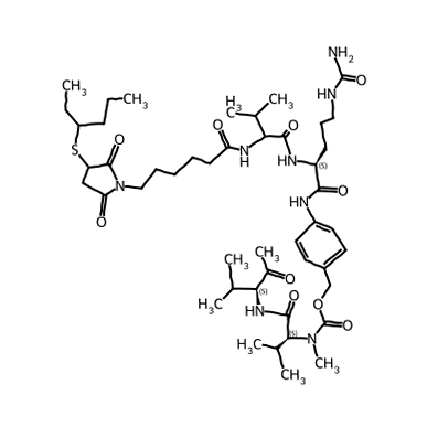 CCCC(CC)SC1CC(=O)N(CCCCCC(=O)NC(C(=O)N[C@@H](CCCNC(N)=O)C(=O)Nc2ccc(COC(=O)N(C)[C@H](C(=O)N[C@H](C(C)=O)C(C)C)C(C)C)cc2)C(C)C)C1=O